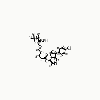 Cc1ncc2c(c1OC(=O)C[C@@H](C)CCO/N=[N+](\O)N(C)C(C)(C)C)CO[C@H]2c1ccc(Cl)cc1